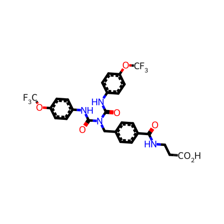 O=C(O)CCNC(=O)c1ccc(CN(C(=O)Nc2ccc(OC(F)(F)F)cc2)C(=O)Nc2ccc(OC(F)(F)F)cc2)cc1